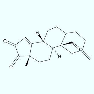 C=C=C[C@]12CCCCC1CC[C@H]1C3=CC(=O)C(=O)[C@@]3(C)CC[C@@H]12